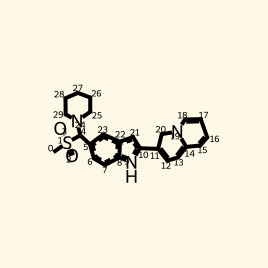 CS(=O)(=O)C(c1ccc2[nH]c(C3=CC=C4C=CC=CN4C3)cc2c1)N1CCCCC1